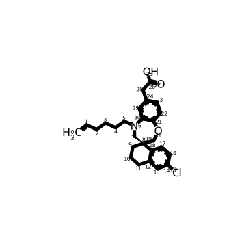 C=CCCCCN1C[C@@]2(CCCc3cc(Cl)ccc32)COc2ccc(CC(=O)O)cc21